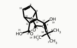 CC(C)(C)OC(=O)N1C2C=CC1C(C(=O)O)=C2C(=O)O